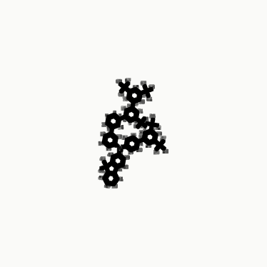 CC(C)(C)c1cc(-c2cccc(-c3cccc(N(c4ccc(-c5cc(C(C)(C)C)cc(C(C)(C)C)c5)cc4)c4ccc5c(c4)C(C)(C)c4ccccc4-5)c3)c2)cc(-c2cc(C(C)(C)C)cc(C(C)(C)C)c2)c1